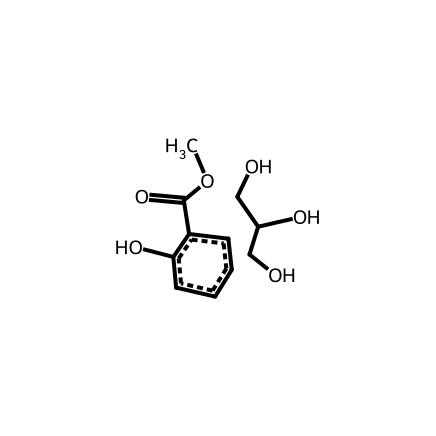 COC(=O)c1ccccc1O.OCC(O)CO